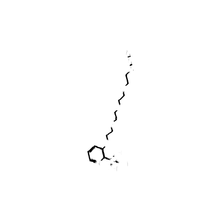 C[N+](C)(C)C1N=CC=CC1OCCOCCOCCOCCN=[N+]=[N-]